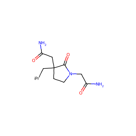 CC(C)CC1(CC(N)=O)CCN(CC(N)=O)C1=O